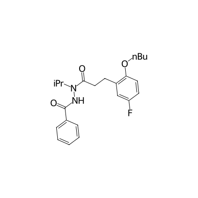 CCCCOc1ccc(F)cc1CCC(=O)N(NC(=O)c1ccccc1)C(C)C